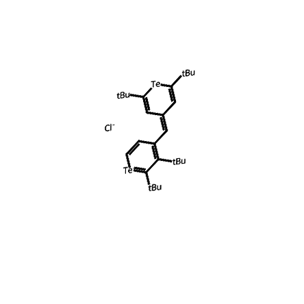 CC(C)(C)C1=CC(=Cc2cc[te+]c(C(C)(C)C)c2C(C)(C)C)C=C(C(C)(C)C)[Te]1.[Cl-]